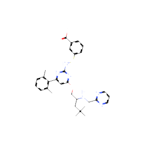 Cc1cccc(C)c1-c1cc(OCC(CC(C)(C)C)NCc2ncccn2)nc(NSc2cccc(C(=O)O)c2)n1